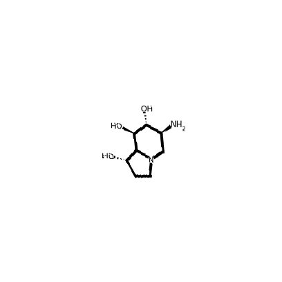 N[C@H]1CN2CC[C@H](O)C2[C@@H](O)[C@@H]1O